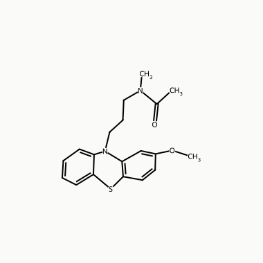 COc1ccc2c(c1)N(CCCN(C)C(C)=O)c1ccccc1S2